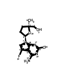 C[C@@]1(CO)CC[C@H](n2cc(F)c3c(N)nc(Cl)nc32)O1